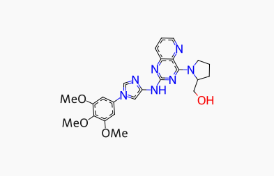 COc1cc(-n2cnc(Nc3nc(N4CCCC4CO)c4ncccc4n3)c2)cc(OC)c1OC